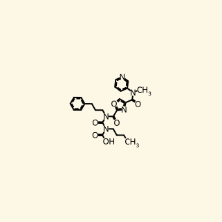 CCCCN(C(=O)O)C(=O)N(CCCc1ccccc1)C(=O)c1nc(C(=O)N(C)c2cccnc2)co1